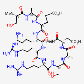 CNC(=O)[C@H](CC(=O)O)NC(=O)[C@H](C)NC(=O)[C@H](CO)NC(=O)[C@H](CCCNC(=N)N)NC(=O)[C@H](CCCNC(=N)N)NC(=O)[C@H](CCCCN)NC(=O)[C@H](CCC(=O)O)NC(=O)[C@H](C)NC(=O)[C@H](CO)NC